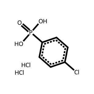 Cl.Cl.O=P(O)(O)c1ccc(Cl)cc1